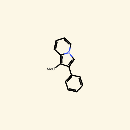 COc1c(-c2ccccc2)cn2ccccc12